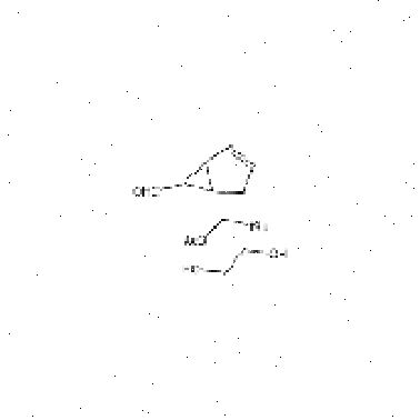 CC(=O)OCC(C)(C)C.O=CC1C2C=CCC12.OCCO